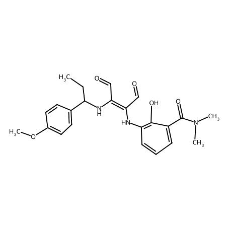 CCC(N/C(C=O)=C(/C=O)Nc1cccc(C(=O)N(C)C)c1O)c1ccc(OC)cc1